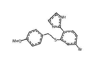 COc1ccc(CSc2cc(Br)ccc2-c2ncc[nH]2)cc1